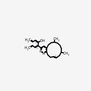 C=C/C=C(\C(O)=C/C=C)c1cc2c(nn1)CC/C=C/CC(C)CCCC(C)CC2